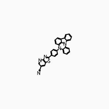 N#Cc1cnc2nc(-c3ccc(N4c5ccccc5-n5c6ccccc6c6cccc4c65)cc3)sc2c1